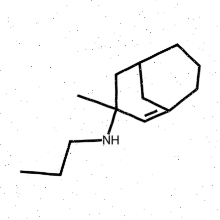 CCCNC1(C)C=C2CCCC(C2)C1